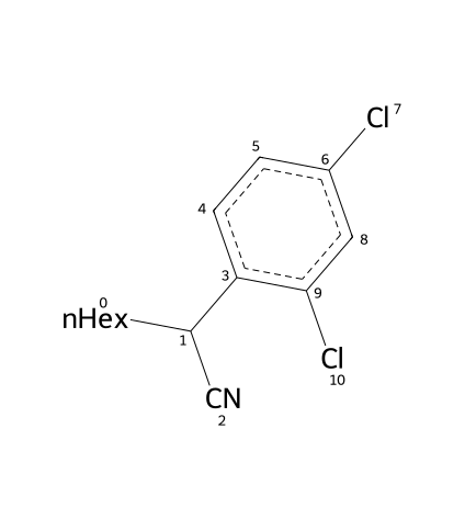 CCCCCCC(C#N)c1ccc(Cl)cc1Cl